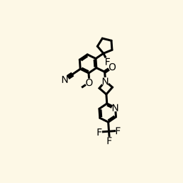 COc1c(C#N)ccc(C2(F)CCCC2)c1C(=O)N1CC(c2ccc(C(F)(F)F)cn2)C1